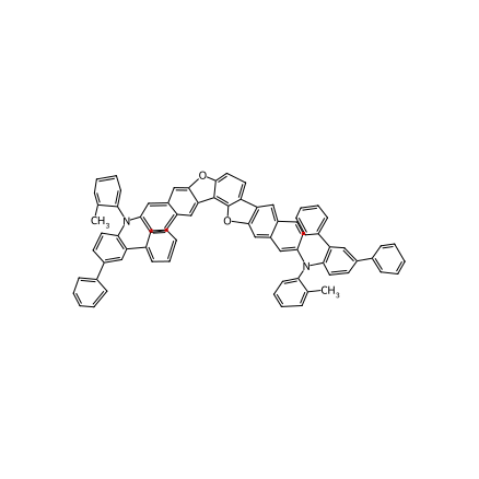 Cc1ccccc1N(c1ccc2cc3c(cc2c1)oc1c3ccc2oc3cc4cc(N(c5ccccc5C)c5ccc(-c6ccccc6)cc5-c5ccccc5)ccc4cc3c21)c1ccc(-c2ccccc2)cc1-c1ccccc1